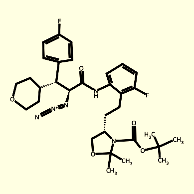 CC(C)(C)OC(=O)N1[C@@H](CCc2c(F)cccc2NC(=O)[C@@H](N=[N+]=[N-])[C@@H](c2ccc(F)cc2)C2CCOCC2)COC1(C)C